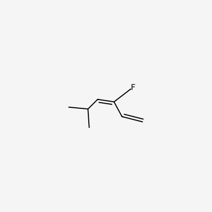 C=C/C(F)=C\C(C)C